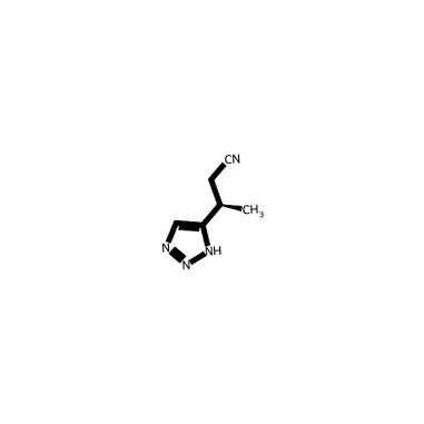 C[C@H](CC#N)c1cnn[nH]1